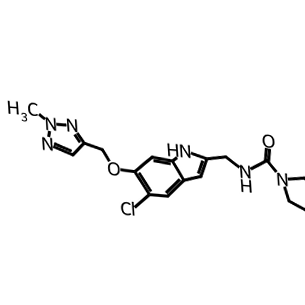 Cn1ncc(COc2cc3[nH]c(CNC(=O)N4CCCC4)cc3cc2Cl)n1